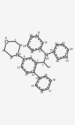 CC(c1cc(N2CCOCC2)ccc1-c1ccccc1)N(c1cccnc1)c1cccnc1